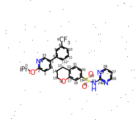 CC(C)Oc1ccc(-c2cc(C(F)(F)F)ccc2[C@H]2CCOc3cc(S(=O)(=O)Nc4ncccn4)ccc32)cn1